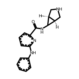 O=C(NC1[C@H]2CNC[C@@H]12)c1cccc(Nc2ccccc2)n1